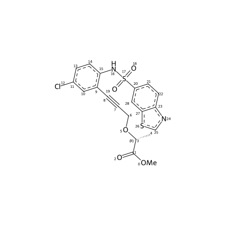 COC(=O)[C@@H](C)OCC#Cc1cc(Cl)ccc1NS(=O)(=O)c1ccc2ncsc2c1